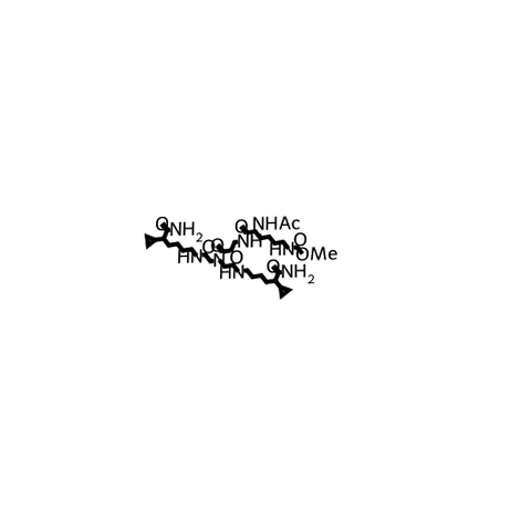 COC(=O)NCCCC[C@H](NC(C)=O)C(=O)NCCC(=O)N(CC(=O)NCCCCC(C(N)=O)C1CC1)CC(=O)NCCCCC(C(N)=O)C1CC1